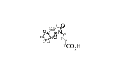 O=C(O)CCCCN1C(=O)CC(=Cc2ccccc2)C1=O